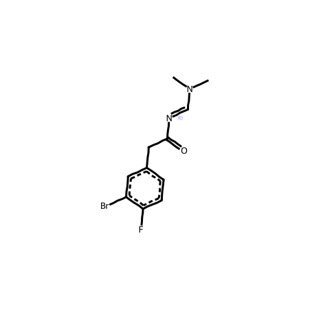 CN(C)/C=N/C(=O)Cc1ccc(F)c(Br)c1